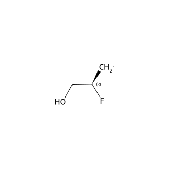 [CH2][C@@H](F)CO